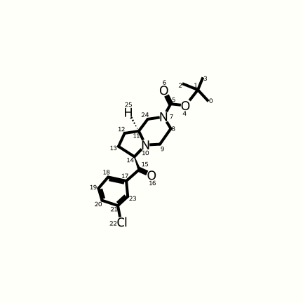 CC(C)(C)OC(=O)N1CCN2[C@@H](CC[C@@H]2C(=O)c2cccc(Cl)c2)C1